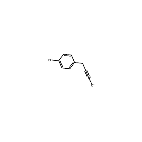 CC(C)c1ccc(CC#[N+][O-])cc1